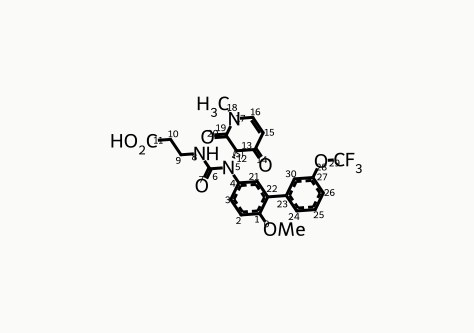 COc1ccc(N(C(=O)NCCC(=O)O)[C@H]2C(=O)C=CN(C)C2=O)cc1-c1cccc(OC(F)(F)F)c1